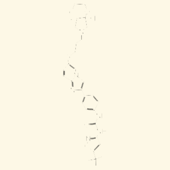 CC(C)(C)c1cc(NC(=O)Nc2ccc(-c3cn4cc(OCCCN5C[C@@H]6OCCO[C@@H]6C5)ccc4n3)cc2)no1